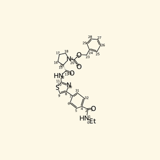 CCNC(=O)c1ccc(-c2csc(NC(=O)[C@@H]3CCCN3C(=O)OCc3ccccc3)n2)cc1